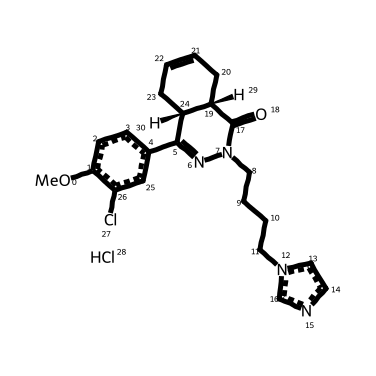 COc1ccc(C2=NN(CCCCn3ccnc3)C(=O)[C@H]3CC=CC[C@@H]23)cc1Cl.Cl